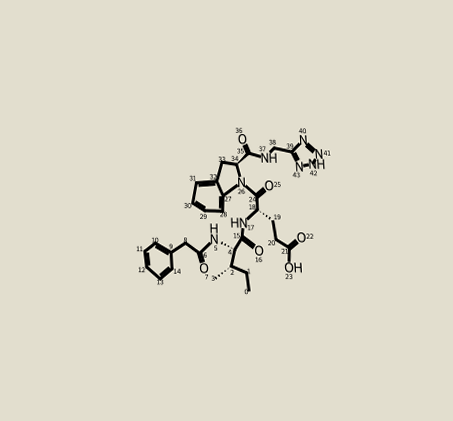 CC[C@H](C)[C@H](NC(=O)Cc1ccccc1)C(=O)N[C@@H](CCC(=O)O)C(=O)N1c2ccccc2C[C@H]1C(=O)NCc1nn[nH]n1